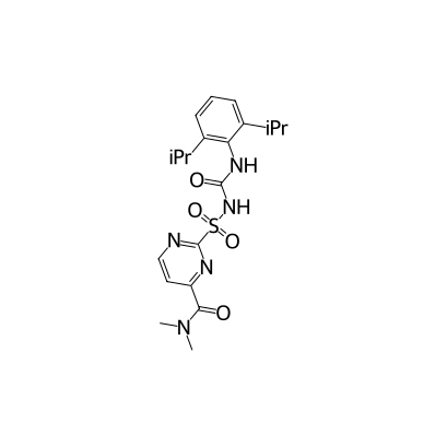 CC(C)c1cccc(C(C)C)c1NC(=O)NS(=O)(=O)c1nccc(C(=O)N(C)C)n1